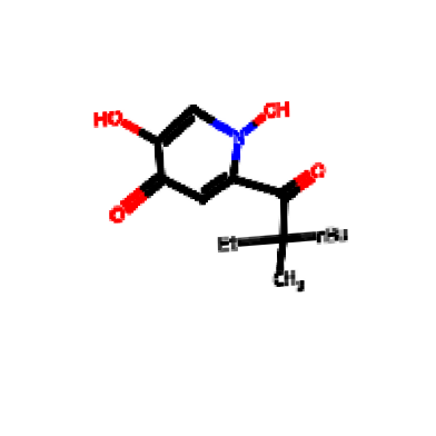 CCCCC(C)(CC)C(=O)c1cc(=O)c(O)cn1O